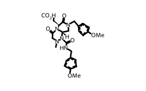 COc1ccc(CNC(=O)N2[C@H]3CN(Cc4ccc(OC)cc4)C(=O)[C@H](CC(=O)O)N3C(=O)CN2C)cc1